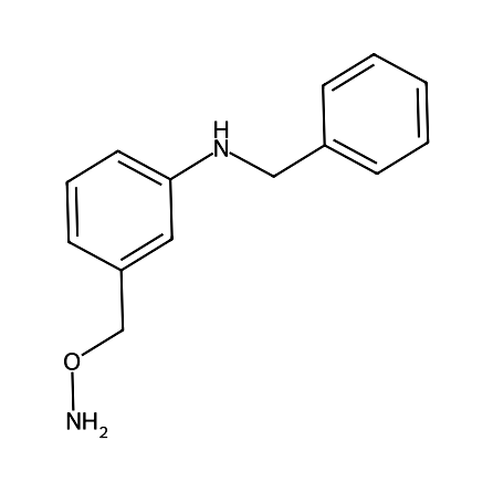 NOCc1cccc(NCc2ccccc2)c1